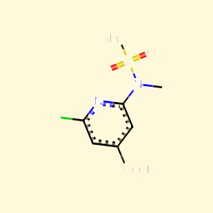 CC(C)S(=O)(=O)N(C)c1cc(C(=O)O)cc(Cl)n1